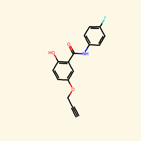 C#CCOc1ccc(O)c(C(=O)Nc2ccc(F)cc2)c1